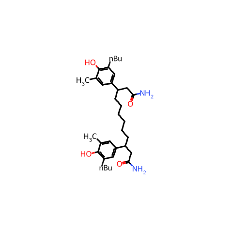 CCCCc1cc(C(CCCCCCC(CC(N)=O)c2cc(C)c(O)c(CCCC)c2)CC(N)=O)cc(C)c1O